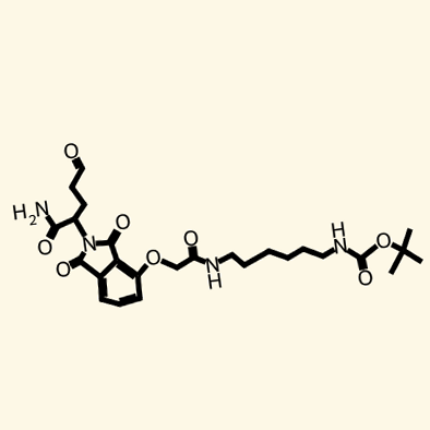 CC(C)(C)OC(=O)NCCCCCCNC(=O)COc1cccc2c1C(=O)N(C(CCC=O)C(N)=O)C2=O